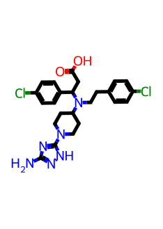 Nc1n[nH]c(N2CCC(N(CCc3ccc(Cl)cc3)C(CC(=O)O)c3ccc(Cl)cc3)CC2)n1